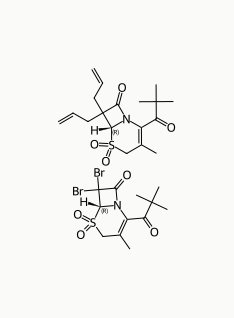 C=CCC1(CC=C)C(=O)N2C(C(=O)C(C)(C)C)=C(C)CS(=O)(=O)[C@@H]21.CC1=C(C(=O)C(C)(C)C)N2C(=O)C(Br)(Br)[C@H]2S(=O)(=O)C1